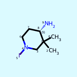 CC1(C)CN(I)CC[C@@H]1N